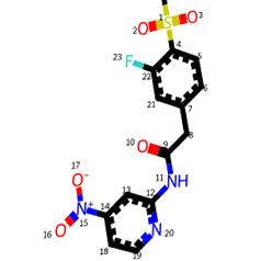 CS(=O)(=O)c1ccc(CC(=O)Nc2cc([N+](=O)[O-])ccn2)cc1F